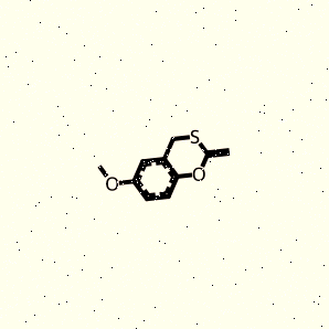 C=C1Oc2ccc(OC)cc2CS1